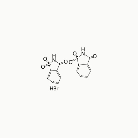 Br.O=C1NS(=O)(=O)c2ccccc21.O=C1NS(=O)(=O)c2ccccc21